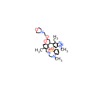 Cc1ccc(C(CC(=O)OCCN2CCOCC2)c2ccc3c(nnn3C)c2C)cc1CN1CCN(C)c2ccccc2S1(=O)=O